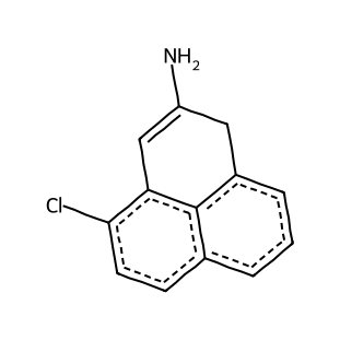 NC1=Cc2c(Cl)ccc3cccc(c23)C1